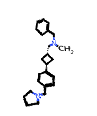 CN(Cc1ccccc1)C[C@H]1C[C@H](c2ccc(CN3CCCC3)cc2)C1